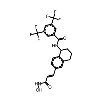 O=C(/C=C/c1ccc2c(c1)CCCC2NC(=O)c1cc(C(F)(F)F)cc(C(F)(F)F)c1)NO